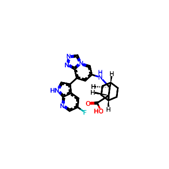 O=C(O)[C@H]1[C@H]2CC[C@H](CC2)[C@@H]1Nc1cc(-c2c[nH]c3ncc(F)cc23)c2nncn2c1